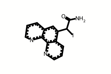 NC(=O)C(I)c1cc2cccnc2c2ncccc12